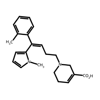 Cc1ccccc1C(=CCCN1CCC=C(C(=O)O)C1)c1cccn1C